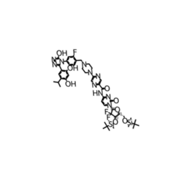 CC(C)c1cc(-c2nnc(O)n2-c2ccc(CN3CCN(c4cnc(C(=O)Nc5ccn([C@@H]6O[C@H](CO[Si](C)(C)C(C)(C)C)[C@@H](O[Si](C)(C)C(C)(C)C)C6(F)F)c(=O)n5)cn4)CC3)c(F)c2)c(O)cc1O